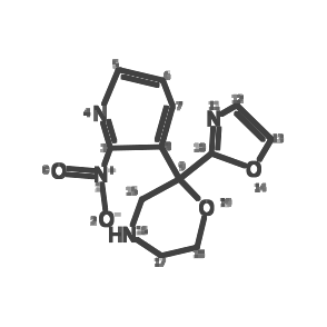 O=[N+]([O-])c1ncccc1C1(c2ncco2)CNCCO1